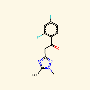 Cn1nc(CC(=O)c2ccc(F)cc2F)nc1C(=O)O